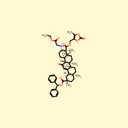 CCOC(=O)CN[C@H]1CC[C@@]2(C)[C@@H](CC[C@]3(C)[C@@H]2C(=O)C=C2[C@@H]4C[C@@](C)(C(=O)OC(c5ccccc5)c5ccccc5)CC[C@]4(C)CC[C@]23C)[C@]1(C)C(=O)OCc1oc(=O)oc1C